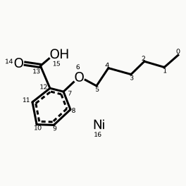 CCCCCCOc1ccccc1C(=O)O.[Ni]